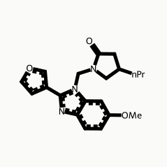 CCCC1CC(=O)N(Cn2c(-c3ccoc3)nc3ccc(OC)cc32)C1